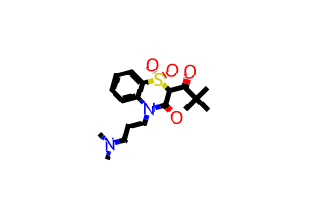 CN(C)CCCN1C(=O)C(C(=O)C(C)(C)C)S(=O)(=O)c2ccccc21